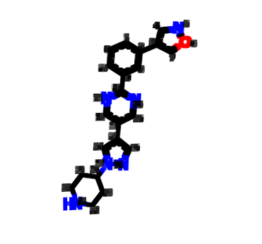 c1cc(-c2cnoc2)cc(-c2ncc(-c3cnn(C4CCNCC4)c3)cn2)c1